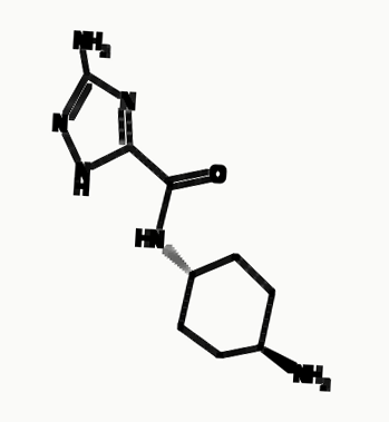 Nc1n[nH]c(C(=O)N[C@H]2CC[C@H](N)CC2)n1